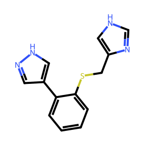 c1ccc(-c2cn[nH]c2)c(SCc2c[nH]cn2)c1